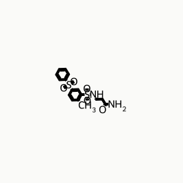 Cc1ccc(S(=O)(=O)c2ccccc2)cc1S(=O)(=O)NCCC(N)=O